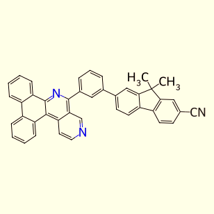 CC1(C)c2cc(C#N)ccc2-c2ccc(-c3cccc(-c4nc5c6ccccc6c6ccccc6c5c5ccncc45)c3)cc21